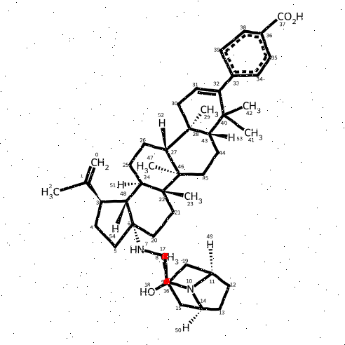 C=C(C)[C@@H]1CC[C@]2(NCCN3[C@@H]4CC[C@H]3C[C@](C)(O)C4)CC[C@]3(C)[C@H](CC[C@@H]4[C@@]5(C)CC=C(c6ccc(C(=O)O)cc6)C(C)(C)[C@@H]5CC[C@]43C)[C@@H]12